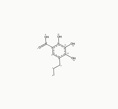 CCCc1cc(C(=O)O)c(O)c(O)c1O